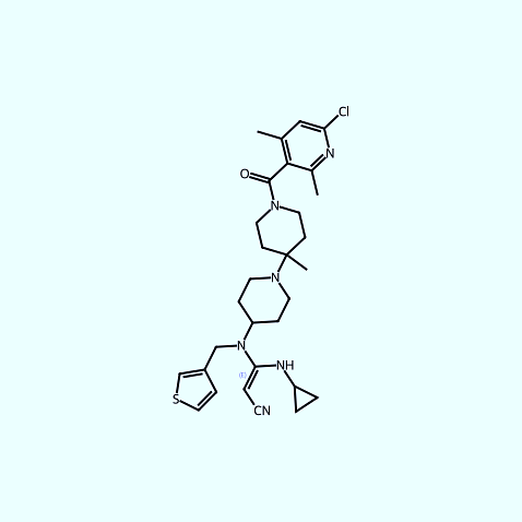 Cc1cc(Cl)nc(C)c1C(=O)N1CCC(C)(N2CCC(N(Cc3ccsc3)/C(=C/C#N)NC3CC3)CC2)CC1